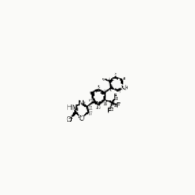 Cc1ccncc1-c1ccc(C2=NNC(=O)OC2)cc1C(F)(F)F